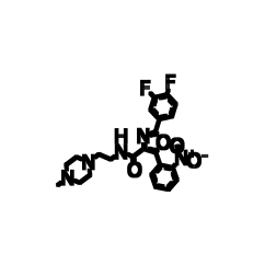 CN1CCN(CCNC(=O)c2nc(-c3ccc(F)c(F)c3)oc2-c2ccccc2[N+](=O)[O-])CC1